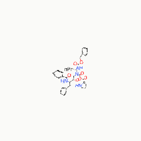 CCCC(NC(=O)OCc1ccccc1)N(CC(=O)C(Cc1ccccc1)NC(=O)c1ccccc1)C(=O)OC(=O)[C@@H]1CCCN1